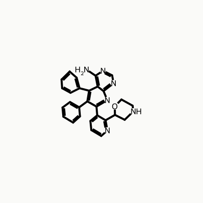 Nc1ncnc2nc(-c3cccnc3C3CNCCO3)c(-c3ccccc3)c(-c3ccccc3)c12